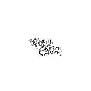 CC(=O)OCC(=O)[C@@]12OC(C)(C)O[C@@H]1C[C@H]1[C@H]3[C@H]([C@@H](O)C[C@@]12C)[C@@]1(C)C=CC(=O)C=C1C[C@H]3F